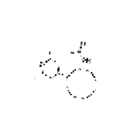 CC(=O)O.CC1CN(C2CCCCCCCCC2)CC(C)O1